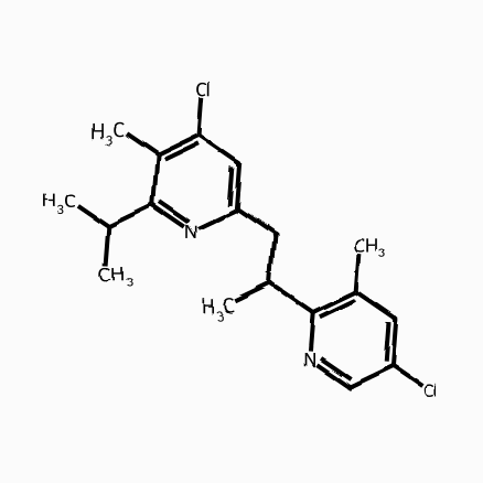 Cc1cc(Cl)cnc1C(C)Cc1cc(Cl)c(C)c(C(C)C)n1